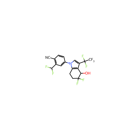 N#Cc1ccc(-n2cc(C(F)(F)C(F)(F)F)c3c2CCC(F)(F)C3O)cc1C(F)F